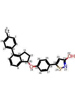 CCc1ccc(-c2cccc3c2CC[C@H]3Oc2ccc(-c3cc(O)ns3)cc2)cc1